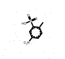 Cc1ccc([N+](=O)[O-])cc1S(=O)(O)=S